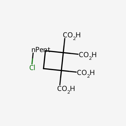 CCCCCCl.O=C(O)C1(C(=O)O)CCC1(C(=O)O)C(=O)O